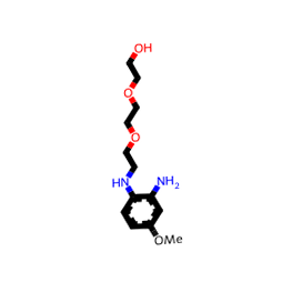 COc1ccc(NCCOCCOCCO)c(N)c1